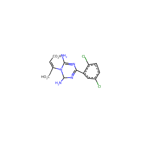 NC1=NC(c2cc(Cl)ccc2Cl)=NC(N)N1/C(=C\C(=O)O)C(=O)O